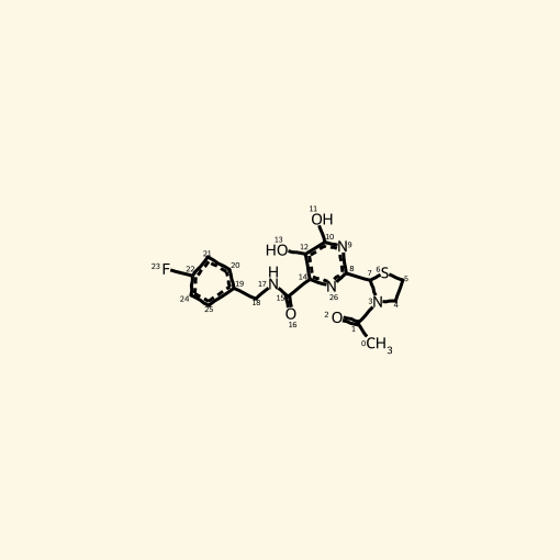 CC(=O)N1CCSC1c1nc(O)c(O)c(C(=O)NCc2ccc(F)cc2)n1